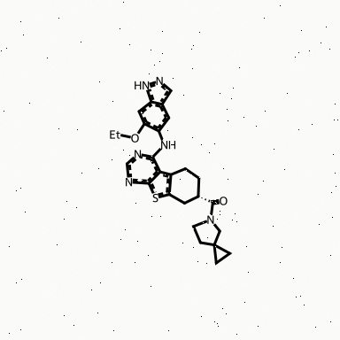 CCOc1cc2[nH]ncc2cc1Nc1ncnc2sc3c(c12)CC[C@H](C(=O)N1CCC2(CC2)C1)C3